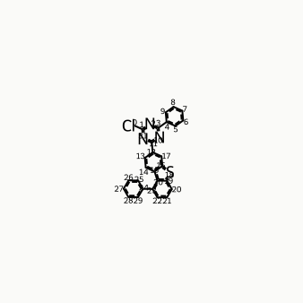 Clc1nc(-c2ccccc2)nc(-c2ccc3c(c2)sc2cccc(-c4ccccc4)c23)n1